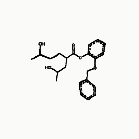 CC(O)CCC(CC(C)O)C(=O)Oc1ccccc1OCc1ccccc1